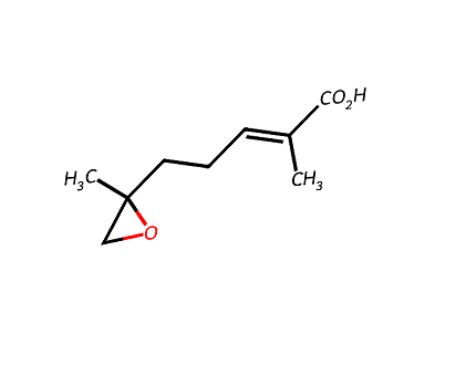 CC(=CCCC1(C)CO1)C(=O)O